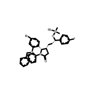 CC(C)(C)[Si](C)(C)O[C@@H](CC[C@@H]1CC(=O)N(c2ccccc2)[C@@H]1c1ccc(Br)cc1OCc1ccccc1)c1ccc(F)cc1